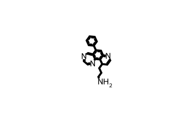 NCCCC1C=CN=c2cc(-c3ccccc3)c3c(c21)N=CC=NC=3